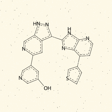 Oc1cncc(-c2cc3c(-c4nc5c(-c6ccsc6)ccnc5[nH]4)n[nH]c3cn2)c1